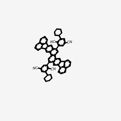 N#Cc1cc(-c2cc3c4cc5c(cc4c(-c4cc(C#N)cc(C6CCCCC6)c4C#N)cc3c3cc4c(cc23)-c2cccc3cccc-4c23)-c2cccc3cccc-5c23)c(C#N)c(C2CCCCC2)c1